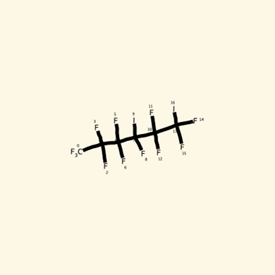 FC(F)(F)C(F)(F)C(F)(F)C(F)(I)C(F)(F)C(F)(F)I